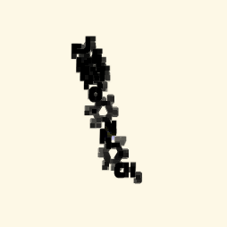 Cc1ccc(/N=N/c2ccc(OCC(F)(F)C(F)(F)C(F)(F)C(F)F)cc2)cc1